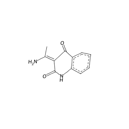 CC(N)=C1C(=O)Nc2ccccc2C1=O